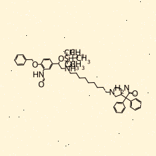 CC(C)(C)[Si](C)(C)OC(CNCCCCCCCCCN1CCC(C(C(N)=O)(c2ccccc2)c2ccccc2)C1)c1ccc(OCc2ccccc2)c(NC=O)c1